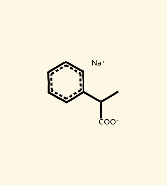 CC(C(=O)[O-])c1ccccc1.[Na+]